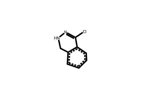 ClC1=NNCc2ccccc21